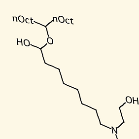 CCCCCCCCCN(CCO)CCCCCCCC(O)OC(CCCCCCCC)CCCCCCCC